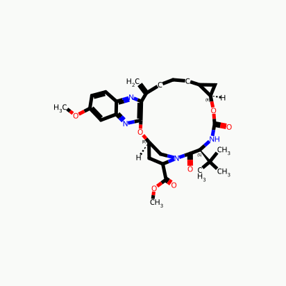 C=C1CCCC2C[C@H]2OC(=O)N[C@@H](C(C)(C)C)C(=O)N2C[C@@H](CC2C(=O)OC)Oc2nc3cc(OC)ccc3nc21